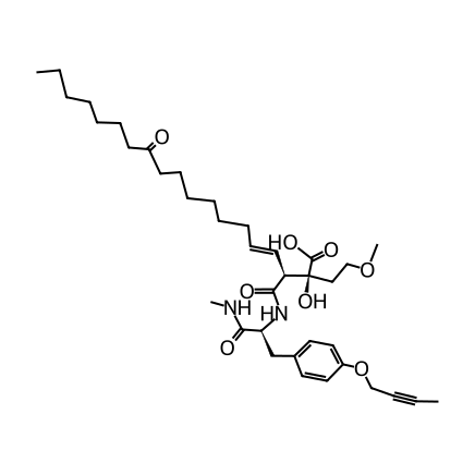 CC#CCOc1ccc(C[C@H](NC(=O)[C@@H](C=CCCCCCCC(=O)CCCCCCC)[C@@](O)(CCOC)C(=O)O)C(=O)NC)cc1